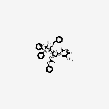 Cc1cn([C@H]2C[C@H](OC(=S)Oc3ccccc3)[C@@H](C(COCc3ccccc3)O[Si](c3ccccc3)(c3ccccc3)C(C)(C)C)O2)c(=O)[nH]c1=O